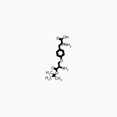 CC(C)(C)OC(=O)C(N)COc1ccc(C[C@H](N)C(=O)O)cc1